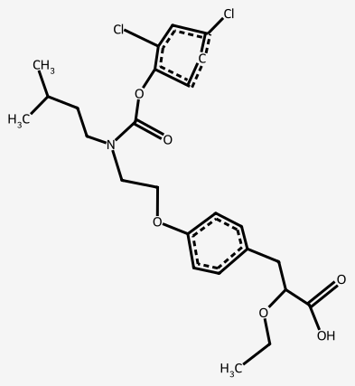 CCOC(Cc1ccc(OCCN(CCC(C)C)C(=O)Oc2ccc(Cl)cc2Cl)cc1)C(=O)O